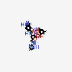 Cc1cc(C)c(S(=O)(=O)NC(C(=O)O)C(CCCNC2=NCCCN2)NC(=O)c2ccc3[nH]ncc3c2)c(C)c1